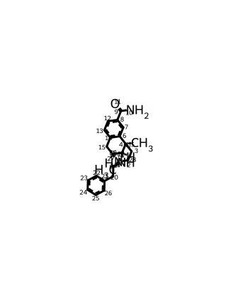 CN1CC[C@@]2(C)c3cc(C(N)=O)ccc3C[C@@H]1[C@H]2NCCc1ccccc1